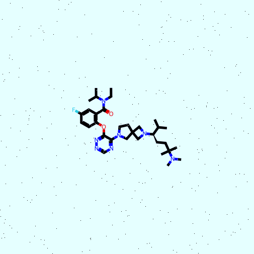 CCN(C(=O)c1cc(F)ccc1Oc1nncnc1N1CCC2(C1)CN([C@H](CCC(C)(C)N(C)C)C(C)C)C2)C(C)C